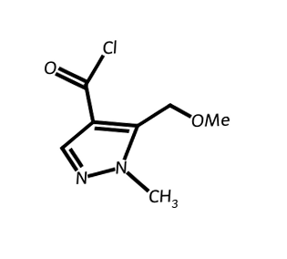 COCc1c(C(=O)Cl)cnn1C